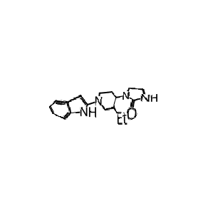 CCC1CN(c2cc3ccccc3[nH]2)CCC1N1CCNC1=O